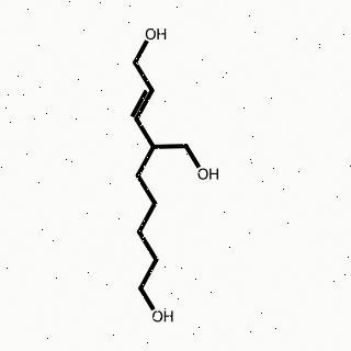 OCC=CC(CO)CCCCCO